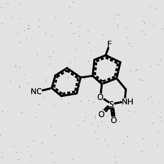 N#Cc1ccc(-c2cc(F)cc3c2OS(=O)(=O)NC3)cc1